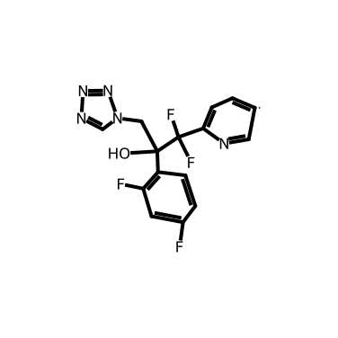 OC(Cn1cnnn1)(c1ccc(F)cc1F)C(F)(F)c1cc[c]cn1